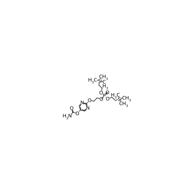 C[Si](C)(C)CCOP(=O)(OCCOc1ncc(OC(N)=O)cn1)OCC[Si](C)(C)C